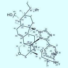 CC(C)[C@@H](C)[C@@]1(C)CC[C@]2(C)[C@H]3CC[C@@H]4[C@@]5(COC[C@@]4(C)[C@@H](OC[C@](C)(N)C(C)(C)C)[C@H](n4ncnc4-c4cccnc4)C5)C3=CC[C@@]2(C)[C@@H]1C(=O)O